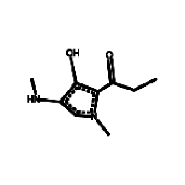 CCC(=O)c1c(O)c(NC)cn1C